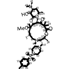 CO[C@]1(C)C[C@@H](C)CN(C)[C@@H](CN2CCN(S(=O)(=O)c3ccc(C)cc3)CC2)[C@H](C)OC(=O)C(C)(C)C(=O)[C@H](C)[C@H]1O[C@@H]1O[C@H](C)C[C@H](N(C)C)[C@H]1O